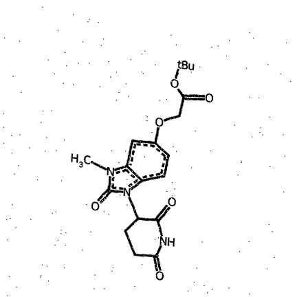 Cn1c(=O)n(C2CCC(=O)NC2=O)c2ccc(OCC(=O)OC(C)(C)C)cc21